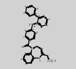 O=C(O)CC1=CCN(C(=O)c2ccc(Nc3ccccc3-c3ccccc3)cc2)c2ccccc2S1